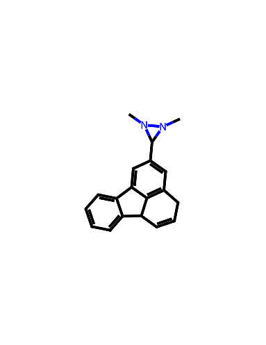 CN1C(c2cc3c4c(c2)-c2ccccc2C4C=CC3)N1C